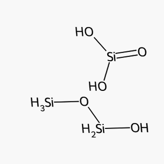 O=[Si](O)O.O[SiH2]O[SiH3]